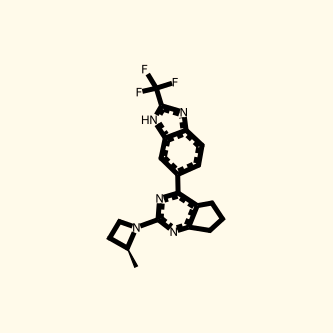 C[C@H]1CCN1c1nc2c(c(-c3ccc4nc(C(F)(F)F)[nH]c4c3)n1)CCC2